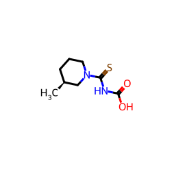 C[C@H]1CCCN(C(=S)NC(=O)O)C1